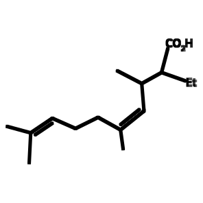 CCC(C(=O)O)C(C)C=C(C)CCC=C(C)C